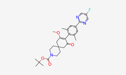 COC1=C(c2c(C)cc(-c3ncc(F)cn3)cc2C)C(=O)CC2(CCN(C(=O)OC(C)(C)C)CC2)C1